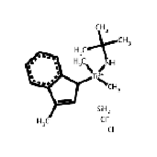 CC1=C[CH]([Ti+2]([CH3])([CH3])[NH]C(C)(C)C)c2ccccc21.[Cl-].[Cl-].[SiH4]